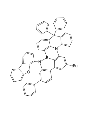 CC(C)(C)c1cc2c3c(c1)N1c4ccccc4C(c4ccccc4)(c4ccccc4)c4cccc(c41)B3N(c1cccc3c1oc1ccccc13)c1cc(-c3ccccc3)ccc1-2